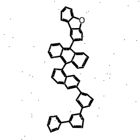 c1ccc(-c2cccc(-c3cccc(-c4ccc5c(-c6c7ccccc7c(-c7ccc8oc9ccccc9c8c7)c7ccccc67)cccc5c4)c3)c2)cc1